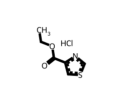 CCOC(=O)c1cscn1.Cl